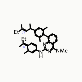 CC/C(C)=C1\C=CC(Nc2nc(NC)c3cccc(-c4c(C)cc(C(C)/C=C(\C)CC)cc4C)c3n2)=CC1C